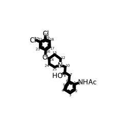 CC(=O)Nc1ccccc1CC(O)CN1CCC(Oc2ccc(Cl)c(Cl)c2)CC1